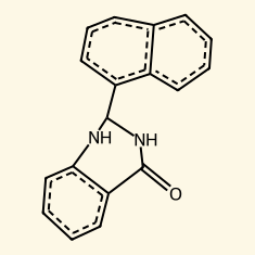 O=C1NC(c2cccc3ccccc23)Nc2ccccc21